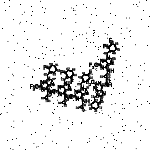 CCNc1nc(C(F)(F)F)nc2c1ncn2Cc1ccccc1F.Fc1ccc(Cn2cnc3c(NC4CC4)nc(C(F)(F)F)nc32)cc1.Fc1cccc(Cn2cnc3c(NC4CC4)nc(C(F)(F)F)nc32)c1F.Fc1cccc(F)c1Cn1cnc2c(NC3CC3)nc(C(F)(F)F)nc21.Fc1ccccc1Cn1cnc2c(NC3CC3)nc(C(F)(F)F)nc21